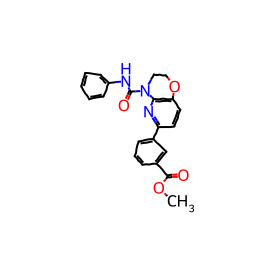 COC(=O)c1cccc(-c2ccc3c(n2)N(C(=O)Nc2ccccc2)CCO3)c1